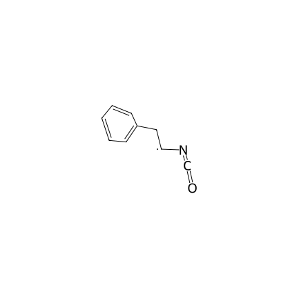 O=C=N[CH]Cc1ccccc1